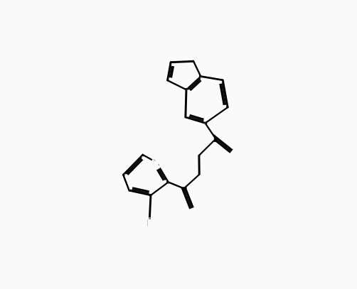 C=C(CCC(=C)c1ncccc1F)c1ccc2c(c1)C=CC2